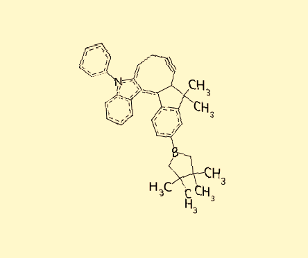 CC1(C)c2cc(B3CC(C)(C)C(C)(C)C3)ccc2/C2=c3/c(n(-c4ccccc4)c4ccccc34)=C\CC#CC21